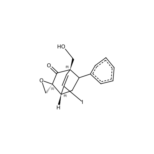 O=C1[C@@]2(CO)C=C(I)[C@H](CC2c2ccccc2)[C@]12CO2